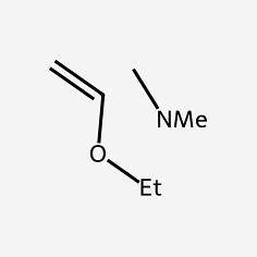 C=COCC.CNC